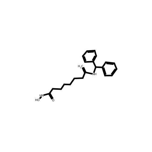 C=C(CCCCCCC(=O)NO)NC(c1ccccc1)c1ccccc1